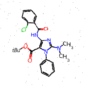 CN(C)c1nc(NC(=O)c2ccccc2Cl)c(C(=O)OC(C)(C)C)n1-c1ccccc1